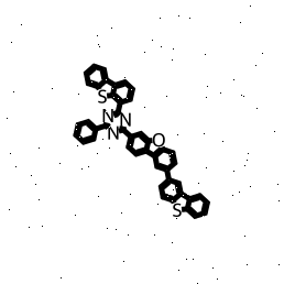 c1ccc(-c2nc(-c3ccc4c(c3)oc3ccc(-c5ccc6sc7ccccc7c6c5)cc34)nc(-c3cccc4c3sc3ccccc34)n2)cc1